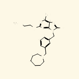 COCCOc1nc(N)c2nc(O)n(Cc3cccc(CN4CCCCCC4)c3)c2n1